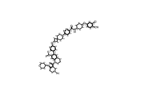 CC(=O)N1CCc2c(c(N3CCCc4cc(-c5ccc(OC6CC7(CCN(c8ccc(C(=O)NC9CCC(Oc%10ccc(C#N)c(Cl)c%10)CC9)nn8)CC7)C6)nc5)c(C(F)F)cc43)nn2C2CCOCC2)C1